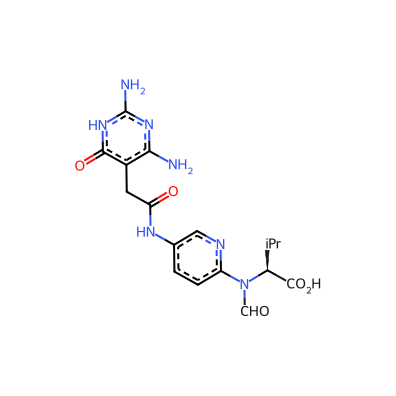 CC(C)[C@@H](C(=O)O)N(C=O)c1ccc(NC(=O)Cc2c(N)nc(N)[nH]c2=O)cn1